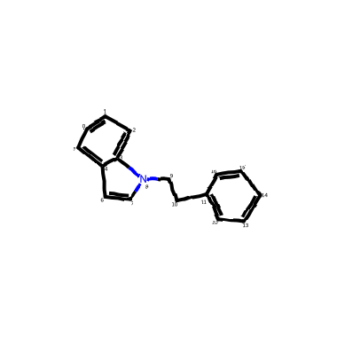 [c]1ccc2c(c1)ccn2CCc1ccccc1